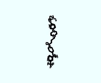 COc1ccc(N2CCN(CCCC(=O)N3CCC(Nc4ccnc(C(F)(F)F)c4)CC3)CC2)cn1